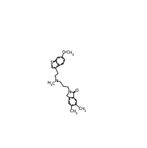 COc1ccc2c(CCN(C)CCCN3Cc4cc(C)c(C)cc4C3=O)csc2c1